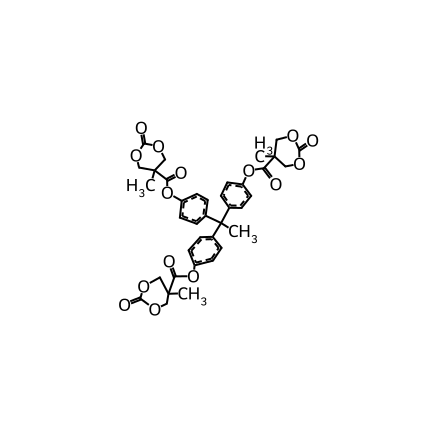 CC1(C(=O)Oc2ccc(C(C)(c3ccc(OC(=O)C4(C)COC(=O)OC4)cc3)c3ccc(OC(=O)C4(C)COC(=O)OC4)cc3)cc2)COC(=O)OC1